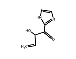 C=C[C](O)C(=O)c1ncc[nH]1